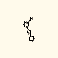 N#Cc1cc(C2CN(c3ccccc3)C2)ccn1